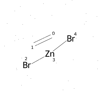 C=C.[Br][Zn][Br]